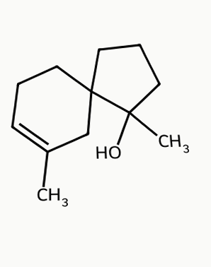 CC1=CCCC2(CCCC2(C)O)C1